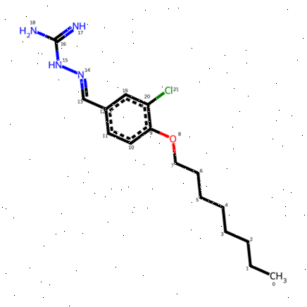 CCCCCCCCOc1ccc(C=NNC(=N)N)cc1Cl